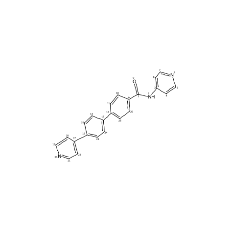 O=C(Nc1ccncc1)c1ccc(-c2ccc(-c3ccncc3)cc2)cc1